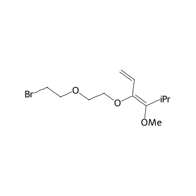 C=CC(OCCOCCBr)=C(OC)C(C)C